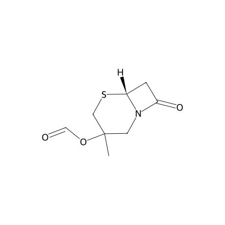 CC1(OC=O)CS[C@@H]2CC(=O)N2C1